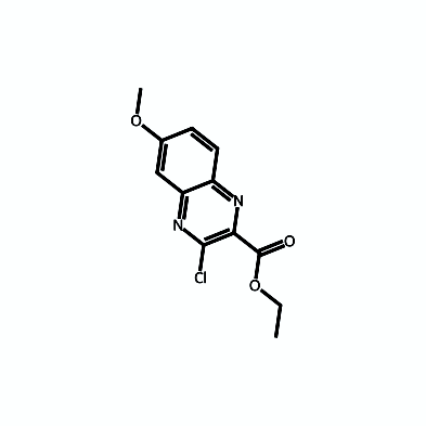 CCOC(=O)c1nc2ccc(OC)cc2nc1Cl